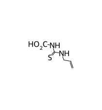 C=CCNC(=S)NC(=O)O